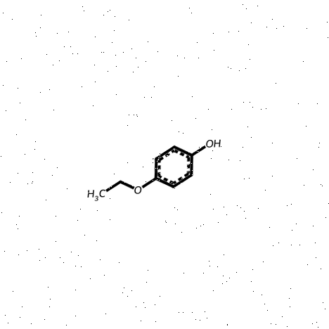 CCOc1[c]cc(O)cc1